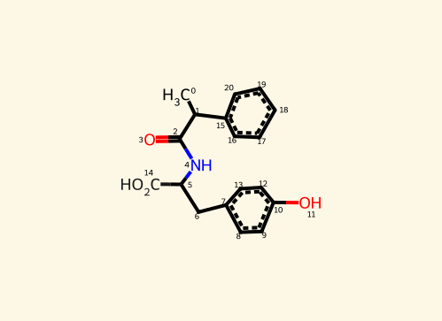 CC(C(=O)NC(Cc1ccc(O)cc1)C(=O)O)c1ccccc1